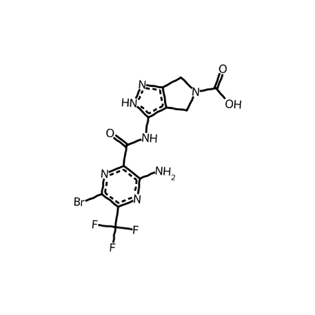 Nc1nc(C(F)(F)F)c(Br)nc1C(=O)Nc1[nH]nc2c1CN(C(=O)O)C2